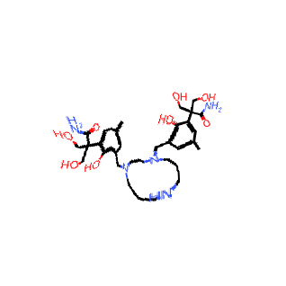 Cc1cc(CN2CCCNCCCN(Cc3cc(C)cc(C(CO)(CO)C(N)=O)c3O)CC2)c(O)c(C(CO)(CO)C(N)=O)c1